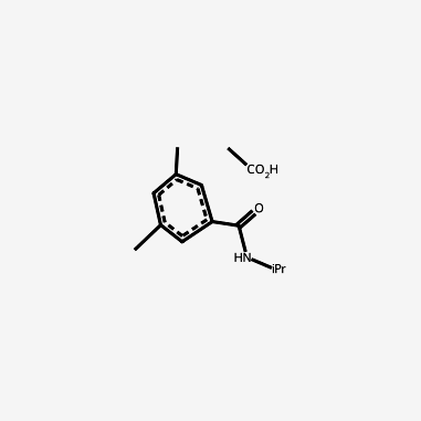 CC(=O)O.Cc1cc(C)cc(C(=O)NC(C)C)c1